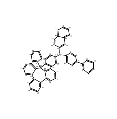 c1ccc(-c2ccc(N(c3ccc(C4(c5ccccc5)c5ccccc5-c5ccccc5-c5ccccc54)cc3)c3ccc4ccccc4c3)cc2)cc1